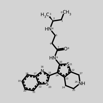 CC[C@H](C)NCCC(=O)Nc1sc2c(c1-c1nc3ccccc3s1)CCNC2